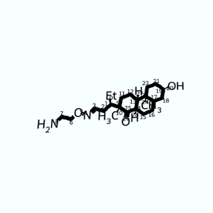 CC[C@H](C/C=N/OCCN)[C@@]1(C)CC[C@H]2[C@@H](CCC3C[C@@H](O)CC[C@@]32C)C1=O